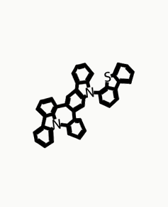 c1ccc2c(c1)-c1cc3c(cc1-c1cccc4c5ccccc5n-2c14)c1ccccc1n3-c1cccc2c1sc1ccccc12